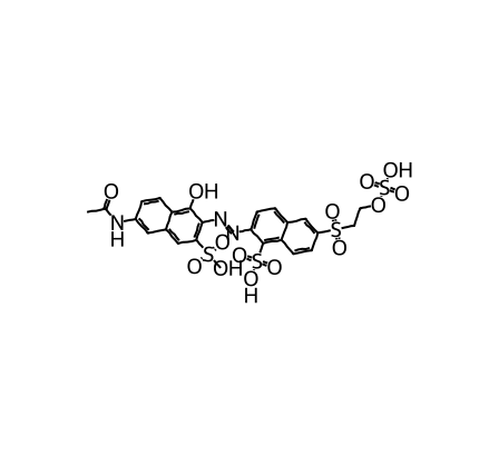 CC(=O)Nc1ccc2c(O)c(/N=N/c3ccc4cc(S(=O)(=O)CCOS(=O)(=O)O)ccc4c3S(=O)(=O)O)c(S(=O)(=O)O)cc2c1